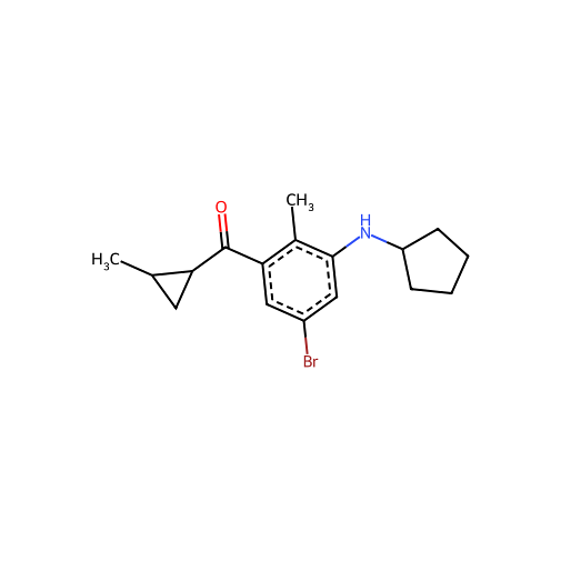 Cc1c(NC2CCCC2)cc(Br)cc1C(=O)C1CC1C